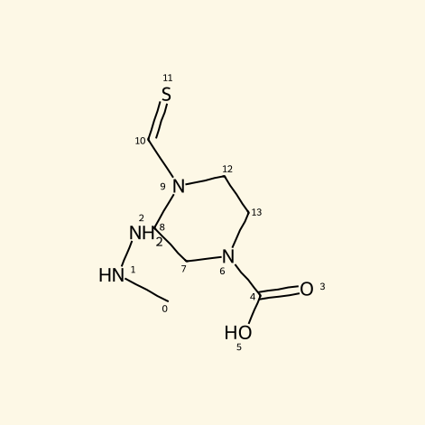 CNN.O=C(O)N1CCN(C=S)CC1